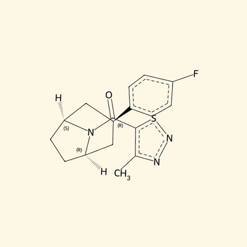 Cc1nnsc1C(=O)N1[C@@H]2CC[C@H]1C[C@@H](c1ccc(F)cc1)C2